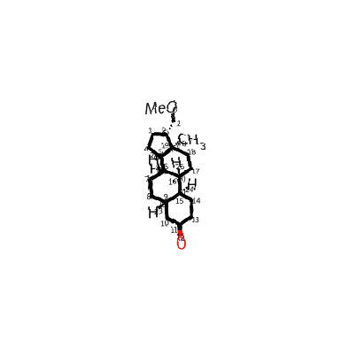 COC[C@H]1CC[C@H]2[C@@H]3CC[C@H]4CC(=O)CC[C@@H]4[C@H]3CC[C@]12C